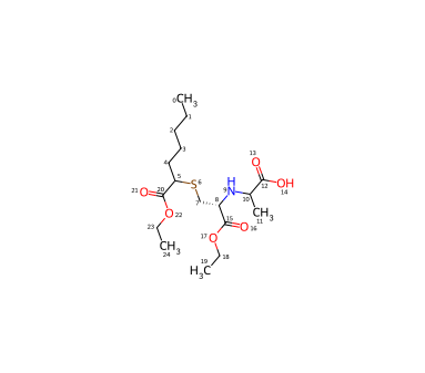 CCCCCC(SC[C@H](NC(C)C(=O)O)C(=O)OCC)C(=O)OCC